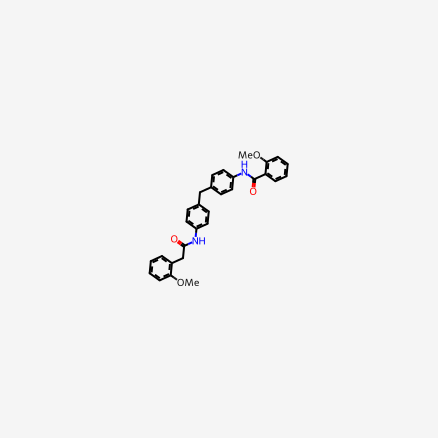 COc1ccccc1CC(=O)Nc1ccc(Cc2ccc(NC(=O)c3ccccc3OC)cc2)cc1